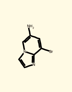 Nc1cc(Br)c2nccn2c1